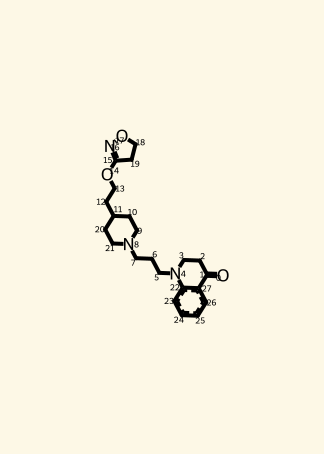 O=C1CCN(CCCN2CCC(CCOC3=NOCC3)CC2)c2ccccc21